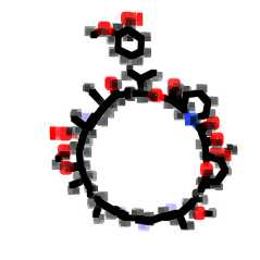 CO[C@H]1C[C@@H]2CC[C@@H](C)[C@@](O)(O2)C(=O)C(=O)N2CCCC[C@H]2C(=O)O[C@H](C(C)C[C@H]2CC[C@@H](O)[C@H](OC)C2)CC(=O)[C@H](C)/C=C(\C)[C@@H](O)[C@@H](OC)C(=O)[C@H](C)C[C@H](C)/C=C/C=C/C=C/1C